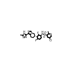 Cc1nnc(-c2ncn3c2CC[C@@H](c2c(F)ccc(NS(=O)(=O)c4cc(Cl)cnc4C)c2F)C3)[nH]1